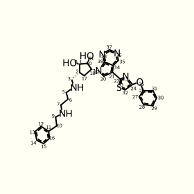 O[C@@H]1[C@@H](CNCCCNCCc2ccccc2)C[C@@H](n2cc(-c3nc(Oc4ccccc4)cs3)c3cncnc32)[C@@H]1O